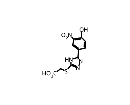 O=C(O)CSc1nnc(-c2ccc(O)c([N+](=O)[O-])c2)[nH]1